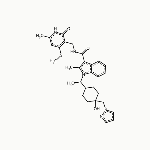 CSc1cc(C)[nH]c(=O)c1CNC(=O)c1c(C)n([C@H](C)C2CCC(O)(Cn3cccn3)CC2)c2ccccc12